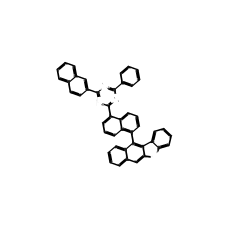 c1ccc(-c2nc(-c3ccc4ccccc4c3)nc(-c3cccc4c(-c5c6ccccc6cc6sc7ccccc7c56)cccc34)n2)cc1